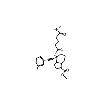 COC(=O)N1CCC2C1CCCC2(C#Cc1cccc(C)c1)OC(=O)CCCC(=O)N(C)C